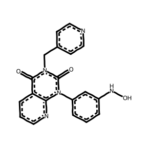 O=c1c2cccnc2n(-c2cccc(NO)c2)c(=O)n1Cc1ccncc1